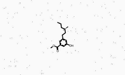 CCC[C@@H](C)CCc1cc(O)cc(C(=O)OC)c1